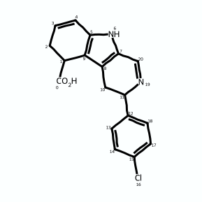 O=C(O)C1CC=Cc2[nH]c3c(c21)CC(c1ccc(Cl)cc1)N=C3